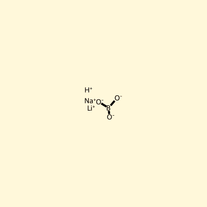 [H+].[Li+].[Na+].[O-]B([O-])[O-]